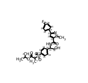 CC(C)OC(=O)C(C)S(=O)(=O)c1ccc(C(CO)NC(=O)c2cc(-c3ccc(F)cc3)nn2C)cc1